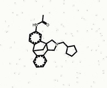 CC(=O)Nc1ccc2c(c1)C13CC2c2ccccc2C1CN(CC1CCCC1)C3